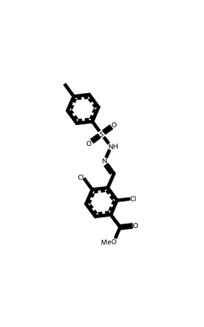 COC(=O)c1ccc(Cl)c(/C=N/NS(=O)(=O)c2ccc(C)cc2)c1Cl